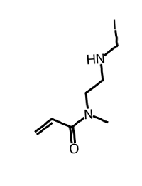 C=CC(=O)N(C)CCNCI